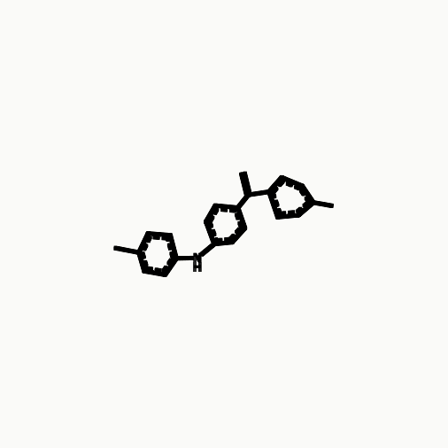 C=C(c1ccc(C)cc1)c1ccc(Nc2ccc(C)cc2)cc1